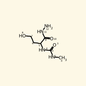 CNC(=O)NC(CCO)C(=O)NN